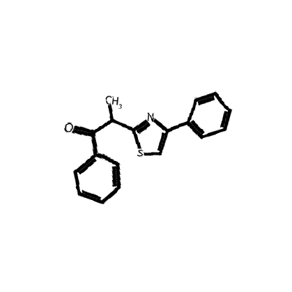 CC(C(=O)c1ccccc1)c1nc(-c2ccccc2)cs1